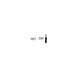 Cl.Cl.[C]F